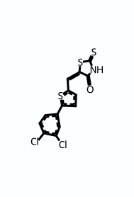 O=C1NC(=S)SC1=Cc1ccc(-c2ccc(Cl)c(Cl)c2)s1